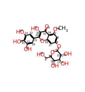 COc1cc(OC2O[C@H](CO)[C@@H](O)C(O)[C@H]2O)cc2oc(-c3cc(O)c(O)c(O)c3)c(O)c(=O)c12